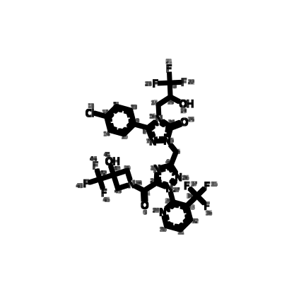 O=C(c1nc(Cn2nc(-c3ccc(Cl)cc3)n(CC(O)C(F)(F)F)c2=O)nn1-c1ncccc1C(F)(F)F)N1CC(O)(C(F)(F)F)C1